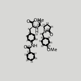 COC(=O)[C@H](Cc1ccc(NC(=O)c2ccccc2)cc1)NC(=O)[C@@H]1CCC(=O)N1Cc1ccc(OC)cc1